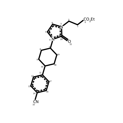 CCOC(=O)CCn1ccn(C2CCC(c3ccc(C#N)cc3)CC2)c1=O